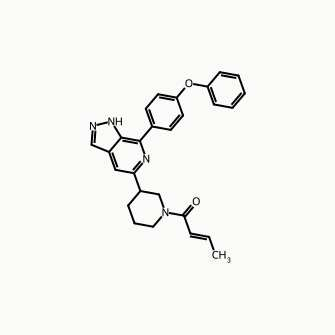 CC=CC(=O)N1CCCC(c2cc3cn[nH]c3c(-c3ccc(Oc4ccccc4)cc3)n2)C1